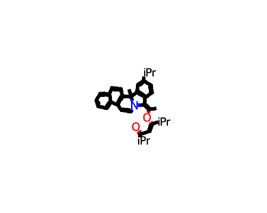 C/C(O/C(=C\C(=O)C(C)C)C(C)C)=C1\c2ccc(C(C)C)cc2C2(C)c3ccc4ccccc4c3C=CN12